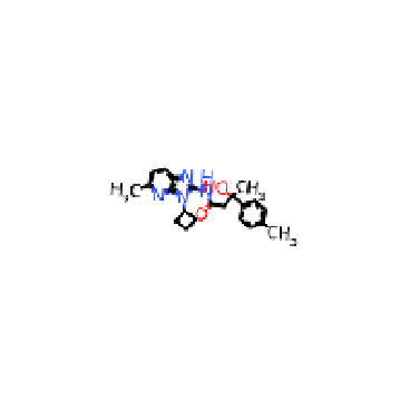 Cc1ccc(C(C)(O)CC(=O)Nc2nc3ccc(C)nc3n2C2CCC2)cc1